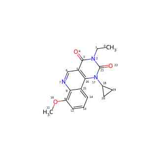 CCn1c(=O)c2cnc3c(OC)cccc3c2n(C2CC2)c1=O